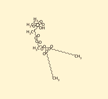 CCCCCCCCCCCCCCCC(=O)OCC(COC(=O)CCCCCCCCCCCCCCC)OC(=O)CC(C)CC(=O)OCOC(=O)CCC(C)=CCc1c(O)c2c(c(C)c1OC)COC2=O